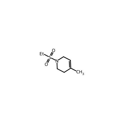 CCS(=O)(=O)N1CC=C(C)CC1